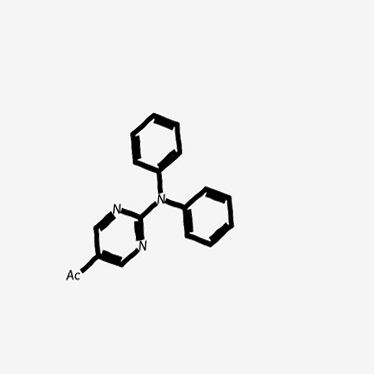 CC(=O)c1cnc(N(c2ccccc2)c2ccccc2)nc1